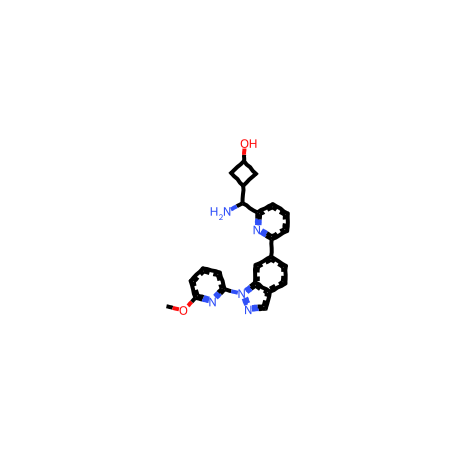 COc1cccc(-n2ncc3ccc(-c4cccc(C(N)C5CC(O)C5)n4)cc32)n1